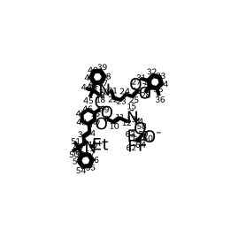 CC[N+]1=C(/C=C/C2=C(OC(=O)/C=C/CN(C)C)C(C=C=C3N(CCCCCC(=O)Oc4c(C)cccc4C)c4ccccc4C3(C)C)CCC2)C(C)(C)c2ccccc21.O=C([O-])C(F)(F)F